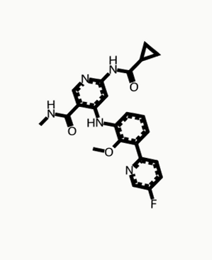 CNC(=O)c1cnc(NC(=O)C2CC2)cc1Nc1cccc(-c2ccc(F)cn2)c1OC